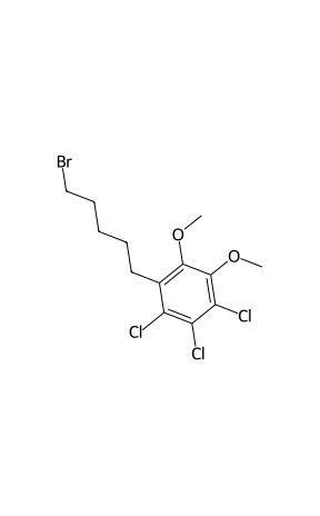 COc1c(Cl)c(Cl)c(Cl)c(CCCCCBr)c1OC